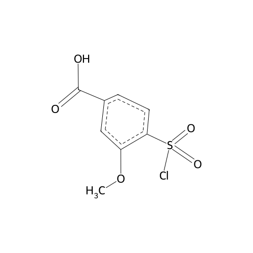 COc1cc(C(=O)O)ccc1S(=O)(=O)Cl